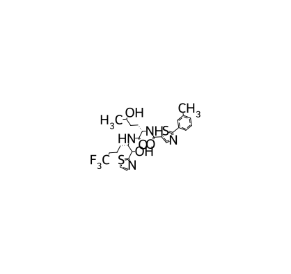 Cc1cccc(-c2ncc(C(=O)N[C@@H](CCC(C)O)C(=O)N[C@@H](CCCC(F)(F)F)C(O)c3nccs3)s2)c1